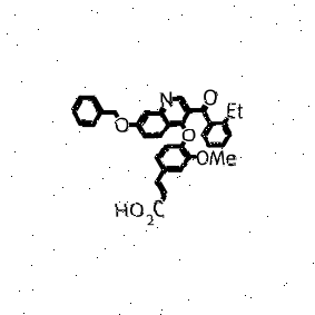 CCc1ccccc1C(=O)c1cnc2cc(OCc3ccccc3)ccc2c1Oc1ccc(/C=C/C(=O)O)cc1OC